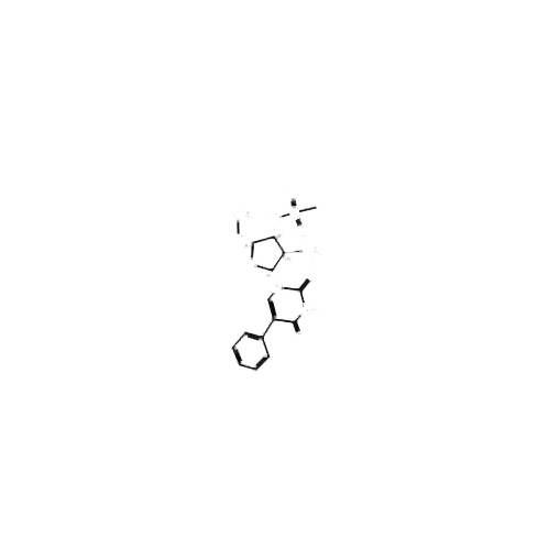 CC(=O)OC[C@H]1O[C@@H](n2cc(-c3ccccc3)c(=O)[nH]c2=O)[C@H](OC(C)=O)[C@H]1OS(C)(=O)=O